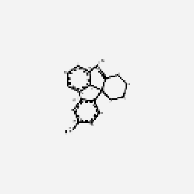 O=C1CCCCC1(c1ccc(O)cc1)c1c(F)cccc1F